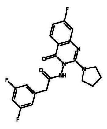 O=C(Cc1cc(F)cc(F)c1)Nn1c(N2CCCC2)nc2cc(F)ccc2c1=O